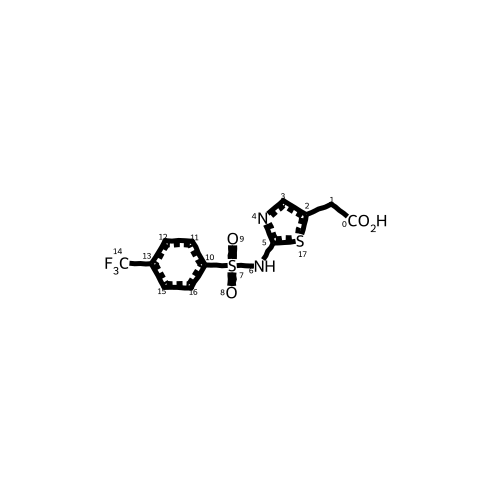 O=C(O)Cc1cnc(NS(=O)(=O)c2ccc(C(F)(F)F)cc2)s1